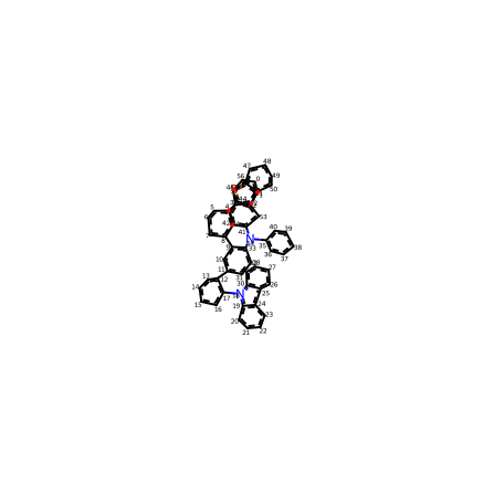 c1ccc(-c2cccc(-c3cc(-c4ccccc4-n4c5ccccc5c5ccccc54)ccc3N(c3ccccc3)c3ccc4sc5ccccc5c4c3)c2)cc1